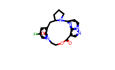 O=C1OCCn2cc(F)cc(c2=O)CC2CCCN2c2ccn3ncc1c3n2